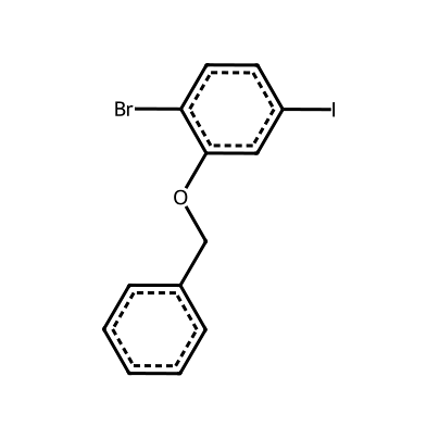 Brc1ccc(I)cc1OCc1ccccc1